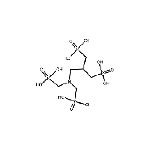 O=P(O)(O)CC(CN(CP(=O)(O)O)CP(=O)(O)O)CP(=O)(O)O